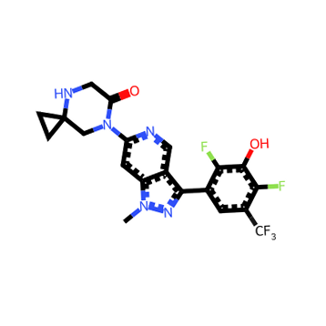 Cn1nc(-c2cc(C(F)(F)F)c(F)c(O)c2F)c2cnc(N3CC4(CC4)NCC3=O)cc21